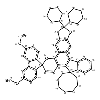 CCCOc1ccc(C2(c3ccc(OCCC)cc3)C=Cc3c4c(c5cc6c(cc5c3O2)SC(C2CCCCC2)(C2CCCCC2)O6)-c2ccccc2C42CCCCCCC2)cc1